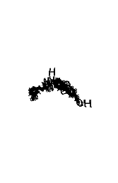 COc1cccc(C=Cc2cnc(Nc3ccc(S(=O)(=O)N4CCC(CCO)CC4)cc3)nc2)c1